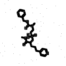 COC(=O)C(CCCc1ccncc1)CP(=O)(O)CCN(C)C(=O)OCc1ccccc1